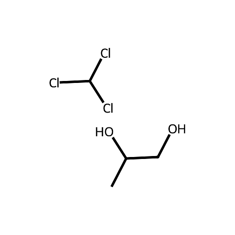 CC(O)CO.ClC(Cl)Cl